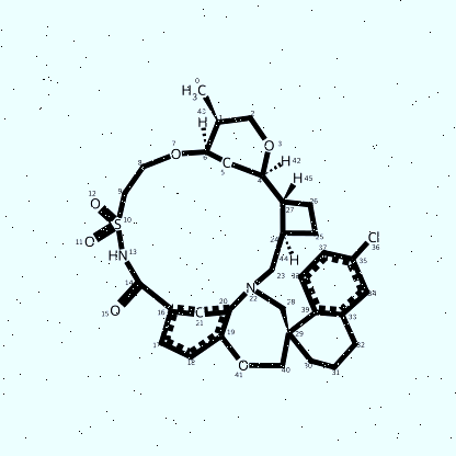 C[C@H]1CO[C@@H]2C[C@H]1OCCS(=O)(=O)NC(=O)c1ccc3c(c1)N(C[C@@H]1CC[C@H]12)C[C@@]1(CCCc2cc(Cl)ccc21)CO3